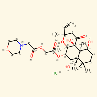 C=C[C@@]1(C)CC(=O)[C@]2(O)[C@@]3(C)[C@@H](O)CCC(C)(C)[C@@H]3[C@H](O)[C@H](OC(=O)COC(=O)CN3CCOCC3)[C@@]2(C)O1.Cl